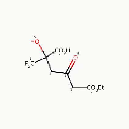 CCOC(=O)CC(=O)CC(O)(C(=O)O)C(F)(F)F